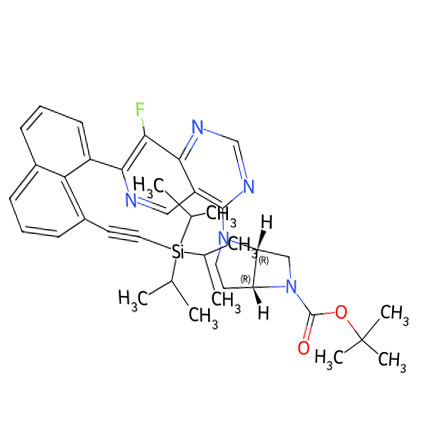 CC(C)[Si](C#Cc1cccc2cccc(-c3ncc4c(N5CC[C@@H]6[C@H]5CN6C(=O)OC(C)(C)C)ncnc4c3F)c12)(C(C)C)C(C)C